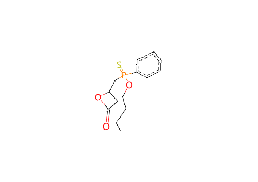 CCCCOP(=S)(CC1CC(=O)O1)c1ccccc1